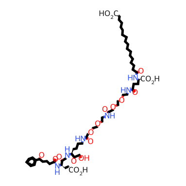 O=C(O)CCCCCCCCCCCCCCCCC(=O)N[C@@H](CCC(=O)NCCOCCOCC(=O)NCCOCCOCC(=O)NCCCC[C@H](NCC(=O)[C@H](CCC(=O)O)NC(=O)CCCC(=O)c1ccccc1)C(=O)CO)C(=O)O